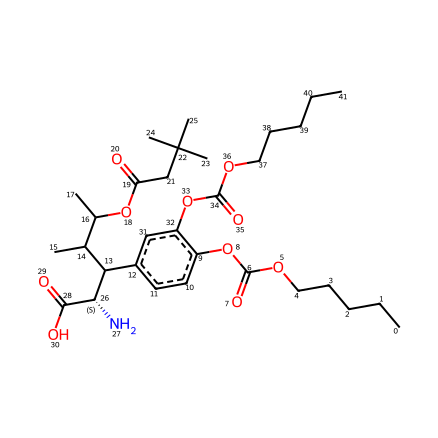 CCCCCOC(=O)Oc1ccc(C(C(C)C(C)OC(=O)CC(C)(C)C)[C@H](N)C(=O)O)cc1OC(=O)OCCCCC